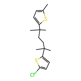 Cc1ccc(C(C)(C)CCC(C)(C)c2ccc(Cl)s2)s1